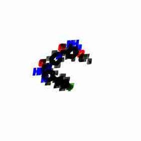 Nc1cc(OC(F)(F)F)ccc1C(=O)N1CCC(n2c(=O)[nH]c3ncc(C4CC5(CC(F)C5)C4)cc32)CC1